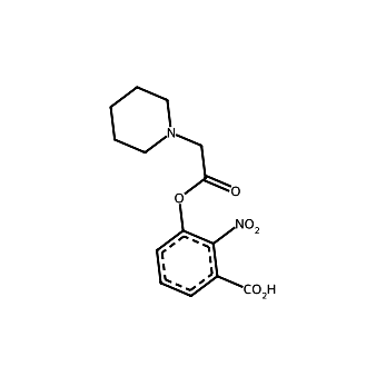 O=C(CN1CCCCC1)Oc1cccc(C(=O)O)c1[N+](=O)[O-]